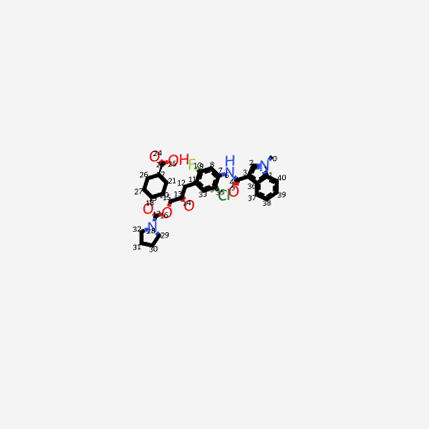 Cn1cc(C(=O)Nc2cc(F)c(CC(=O)COC(O[C@H]3CC[C@H](C(=O)O)CC3)N3CCCC3)cc2Cl)c2ccccc21